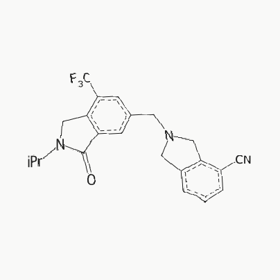 CC(C)N1Cc2c(cc(CN3Cc4cccc(C#N)c4C3)cc2C(F)(F)F)C1=O